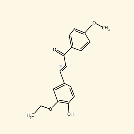 CCOc1cc(/C=C/C(=O)c2ccc(OC)cc2)ccc1O